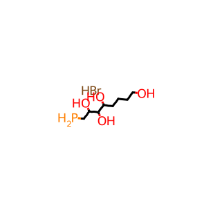 Br.OCCCCC(O)C(O)C(O)CP